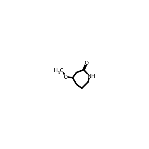 COC1CCCNC(=O)C1